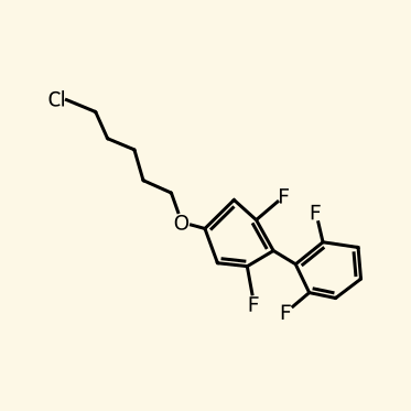 Fc1cccc(F)c1-c1c(F)cc(OCCCCCCl)cc1F